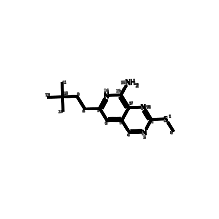 CSc1ncc2cc(CCC(C)(C)C)nc(N)c2n1